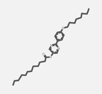 CCCCCCCCCCCC(=O)Oc1cnc(-c2ccc(OCCCCCCCC)cc2)nc1